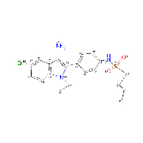 CCCCS(=O)(=O)Nc1ccc(-c2c(N)c3cc(Cl)ccc3n2CC)cc1